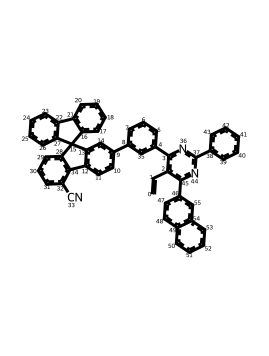 C=Cc1c(-c2cccc(-c3ccc4c(c3)C3(c5ccccc5-c5ccccc53)c3cccc(C#N)c3-4)c2)nc(-c2ccccc2)nc1-c1ccc2ccccc2c1